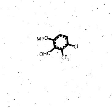 COc1ccc(Cl)c(C(F)(F)F)c1C=O